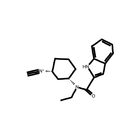 C#[N+][C@@H]1CCC[C@H](N(CC)C(=O)c2cc3ccccc3[nH]2)C1